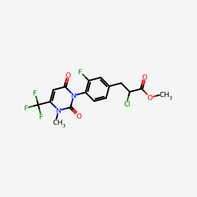 COC(=O)C(Cl)Cc1ccc(-n2c(=O)cc(C(F)(F)F)n(C)c2=O)c(F)c1